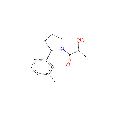 Cc1cccc(C2CCCN2C(=O)C(C)O)c1